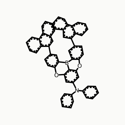 c1ccc(N(c2ccccc2)c2cc3c4c(c2)Oc2ccc(-c5cc6ccccc6c6ccccc56)cc2B4c2cc(-c4cc5ccccc5c5ccccc45)ccc2O3)cc1